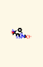 Cc1noc(C)c1-c1cnc2nc(N3CC(O)C3)n(Cc3ccccc3)c2c1